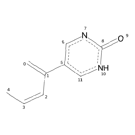 C=C(/C=C\C)c1cnc(=O)[nH]c1